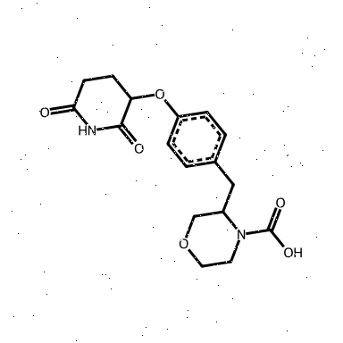 O=C1CCC(Oc2ccc(CC3COCCN3C(=O)O)cc2)C(=O)N1